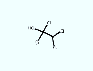 OC(Cl)(Cl)C(Cl)Cl